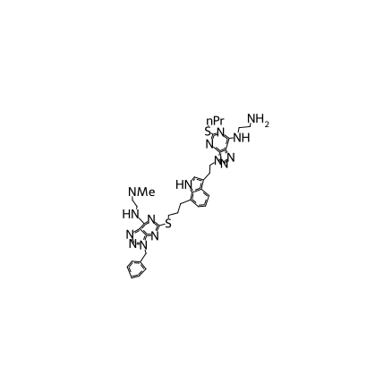 CCCSc1nc(NCCN)c2nnn(CCc3c[nH]c4c(CCCSc5nc(NCCNC)c6nnn(Cc7ccccc7)c6n5)cccc34)c2n1